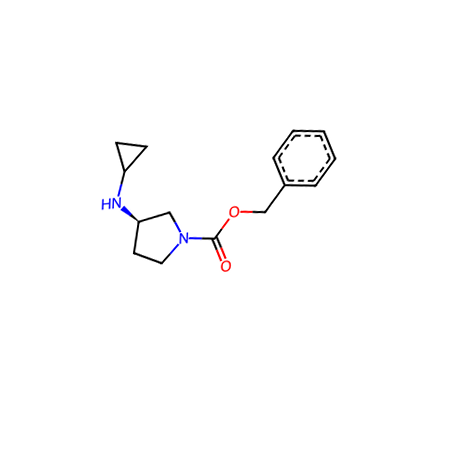 O=C(OCc1ccccc1)N1CC[C@@H](NC2CC2)C1